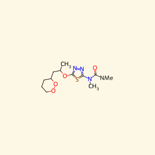 CNC(=O)N(C)c1nnc(OC(C)CC2CCCOO2)s1